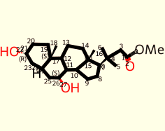 COC(=O)CC(C)(C)[C@H]1CCC2C3C(CC[C@@]21C)[C@@]1(C)CC[C@@H](O)C[C@H]1C[C@@H]3O